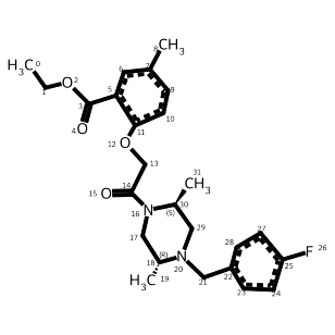 CCOC(=O)c1cc(C)ccc1OCC(=O)N1C[C@@H](C)N(Cc2ccc(F)cc2)C[C@@H]1C